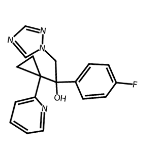 OC(Cn1cncn1)(c1ccc(F)cc1)C1(c2ccccn2)CC1